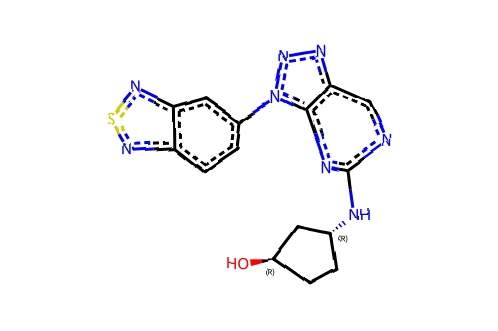 O[C@@H]1CC[C@@H](Nc2ncc3nnn(-c4ccc5nsnc5c4)c3n2)C1